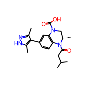 Cc1n[nH]c(C)c1-c1ccc2c(c1)N(C(=O)O)C[C@H](C)N2C(=O)CC(C)C